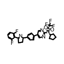 O=S(=O)(N(c1ncc(-c2ccc(C3CCC(c4c(F)cccc4F)=N3)cc2)cn1)C1CCCC1)C(F)(F)F